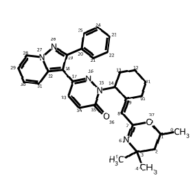 CC1CC(C)(C)N=C(C=C2CCCCC2n2nc(-c3c(-c4ccccc4)nn4ccccc34)ccc2=O)O1